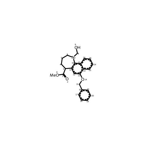 COC(=O)C1CCCN(CO)c2c1cc(OCc1ccccc1)c1ccccc21